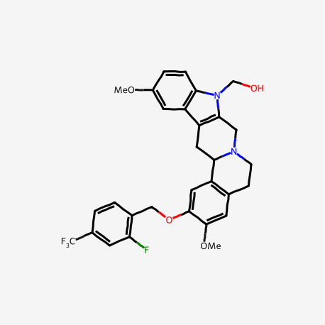 COc1ccc2c(c1)c1c(n2CO)CN2CCc3cc(OC)c(OCc4ccc(C(F)(F)F)cc4F)cc3C2C1